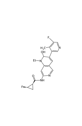 CCN1c2cc(NC(=O)[C@H]3C[C@H]3F)ncc2C=C(c2cncc(F)c2C)C1O